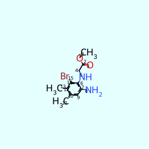 COC(=O)CNc1c(N)cc(C)c(C)c1Br